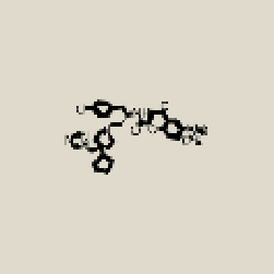 CS(=O)(=O)Nc1ccc2oc(C(=O)N[C@H](CCN3CCC(Cn4cncn4)(C4CCCCC4)CC3)Cc3ccc(Cl)cc3)cc(=O)c2c1